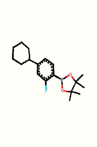 CC1(C)OB(c2ccc(C3CCCCC3)cc2F)OC1(C)C